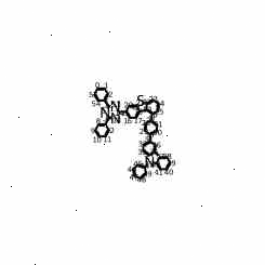 c1ccc(-c2nc(-c3ccccc3)nc(-c3ccc4c(c3)sc3cccc(-c5ccc(-c6ccc7c(c6)c6ccccc6n7-c6ccccc6)cc5)c34)n2)cc1